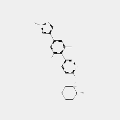 Cn1cc(-c2cc(O)c(-c3ccc(O[C@@H]4CCCC[C@@H]4F)nn3)c(F)c2)cn1